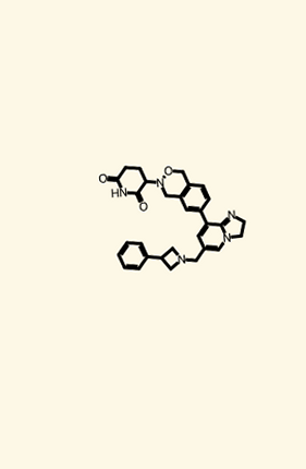 O=C1CCC(N2Cc3cc(C4=CC(CN5CC(c6ccccc6)C5)=CN5CCN=C45)ccc3CO2)C(=O)N1